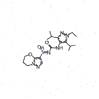 CCn1nc(C(C)C)c(NC(=O)/N=[SH](=O)/c2cnn3c2OCCC3)c1C(C)C